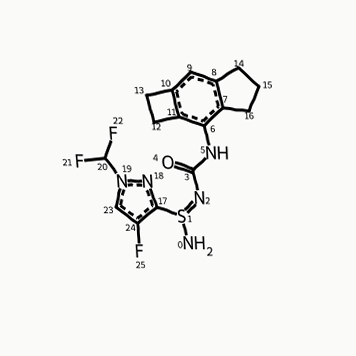 N/S(=N/C(=O)Nc1c2c(cc3c1CC3)CCC2)c1nn(C(F)F)cc1F